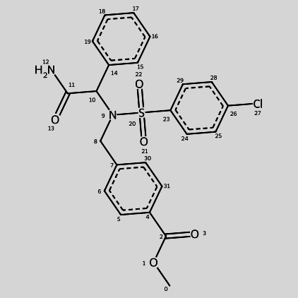 COC(=O)c1ccc(CN(C(C(N)=O)c2ccccc2)S(=O)(=O)c2ccc(Cl)cc2)cc1